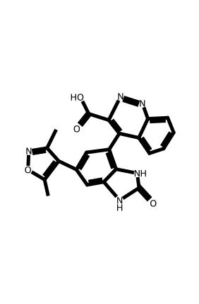 Cc1noc(C)c1-c1cc(-c2c(C(=O)O)nnc3ccccc23)c2[nH]c(=O)[nH]c2c1